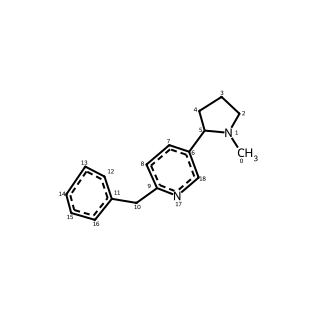 CN1CCCC1c1ccc(Cc2ccccc2)nc1